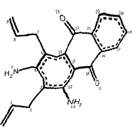 C=CCc1c(N)c(CC=C)c2c(c1N)C(=O)c1ccccc1C2=O